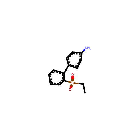 CCS(=O)(=O)c1ccccc1-c1ccc(N)cc1